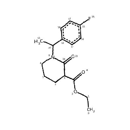 CCOC(=O)C1CCCN(C(C)c2ccc(F)cc2)C1=O